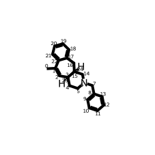 CC1=C[C@@H]2CCN(Cc3ccccc3)C[C@H]2Cc2ccccc21